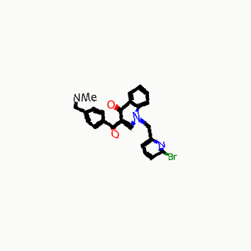 CNCc1ccc(C(=O)c2cn(Cc3cccc(Br)n3)c3ccccc3c2=O)cc1